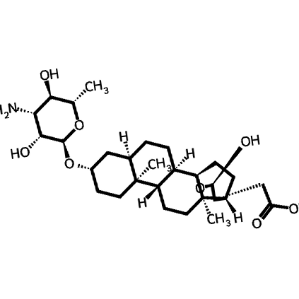 C[C@@H]1O[C@@H](O[C@H]2CC[C@@]3(C)[C@H](CC[C@@H]4[C@@H]3CC[C@]3(C)[C@@H]5CC[C@]43O[C@@H](O)[C@H]5CC(=O)O)C2)[C@H](O)[C@H](N)[C@H]1O